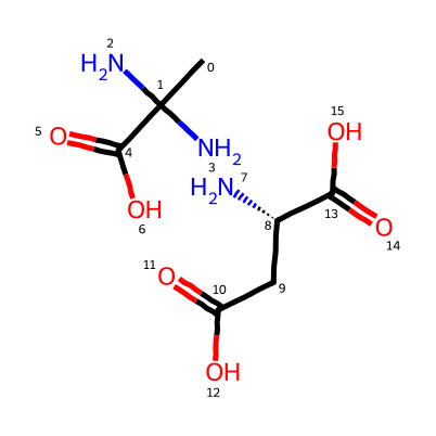 CC(N)(N)C(=O)O.N[C@@H](CC(=O)O)C(=O)O